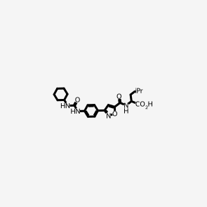 CC(C)CC(NC(=O)c1cc(-c2ccc(NC(=O)NC3CCCCC3)cc2)no1)C(=O)O